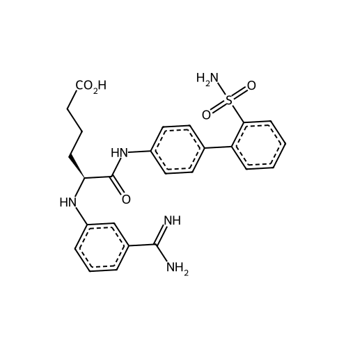 N=C(N)c1cccc(N[C@@H](CCCC(=O)O)C(=O)Nc2ccc(-c3ccccc3S(N)(=O)=O)cc2)c1